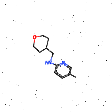 Cc1ccc(NCC2CCOCC2)nc1